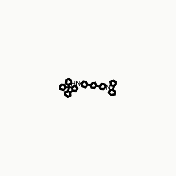 c1ccc(C2(c3ccccc3)c3ccccc3-c3ccc(Nc4ccc(-c5ccc(-c6ccc(-n7c8ccccc8c8ccccc87)cc6)cc5)cc4)cc32)cc1